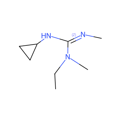 CCN(C)/C(=N\C)NC1CC1